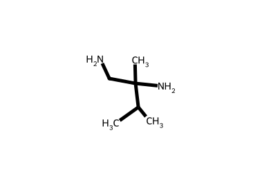 CC(C)C(C)(N)CN